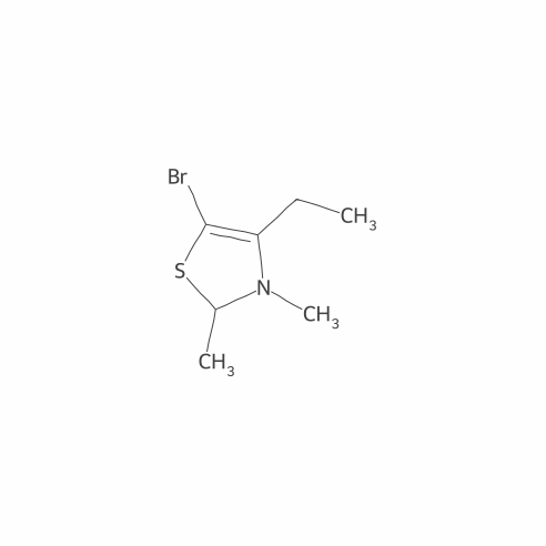 CCC1=C(Br)SC(C)N1C